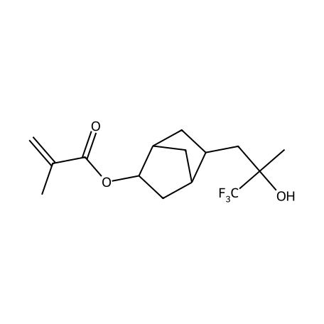 C=C(C)C(=O)OC1CC2CC1CC2CC(C)(O)C(F)(F)F